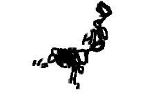 CC(C)(C)c1cc(N(C(N)=O)C2=CC=C(c3cccc(NC(=O)OCc4ccccc4)c3)CC2=O)no1